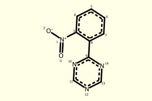 O=[N+]([O-])c1ccccc1-c1ncncn1